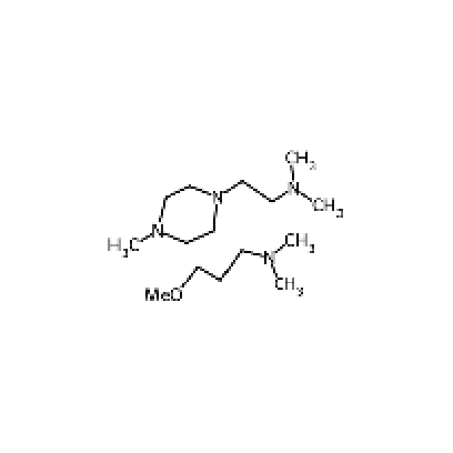 CN(C)CCN1CCN(C)CC1.COCCCN(C)C